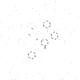 C=CCOc1ccccc1C(c1ccccc1F)N1CN(CC=C)C(=O)c2c(OCc3ccccc3)c(=O)ccn21